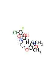 Cc1cc(O[C@H]2C[C@@H](CC3CCN(C(=O)C(O)(c4cc(F)cc(Cl)c4)C(F)(F)F)CC3)C2)ccc1C(=O)N(C)C